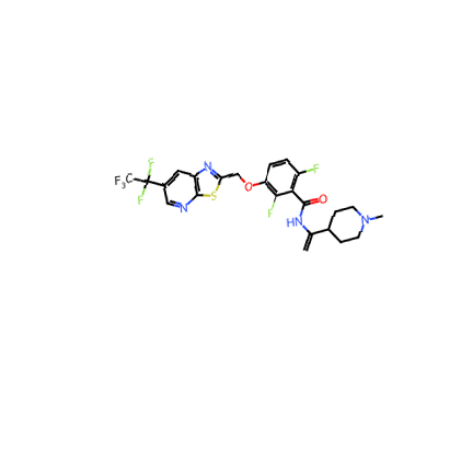 C=C(NC(=O)c1c(F)ccc(OCc2nc3cc(C(F)(F)C(F)(F)F)cnc3s2)c1F)C1CCN(C)CC1